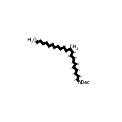 C=CCCCCCCCCCCC(C)CCCCCCCCCCCCCCCCCCCC